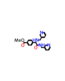 COC(=O)c1ccc(C(NCc2cccnc2)C(=O)NCc2cccnc2)cc1